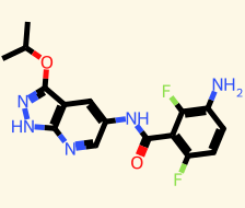 CC(C)Oc1n[nH]c2ncc(NC(=O)c3c(F)ccc(N)c3F)cc12